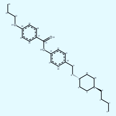 CCCC[C@H]1CC[C@H](CCc2ccc(OC(=O)c3ccc(OCCC)cc3)cn2)CC1